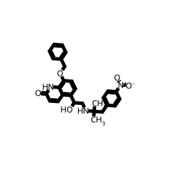 CC(C)(Cc1ccc([N+](=O)[O-])cc1)NCC(O)c1ccc(OCc2ccccc2)c2[nH]c(=O)ccc12